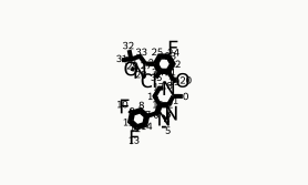 CC1c2nn(C)c(-c3cc(F)cc(F)c3)c2CCN1C(=O)c1cc(F)cc(C2=NOC(C)(C)C2)c1Cl